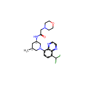 C[C@H]1C[C@@H](NC(=O)CN2CCOCC2)CN(c2ccc(C(F)F)c3nccnc23)C1